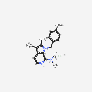 COc1ccc(Cn2c(C)c(C)c3ccnc(N(C)C)c32)cc1.Cl